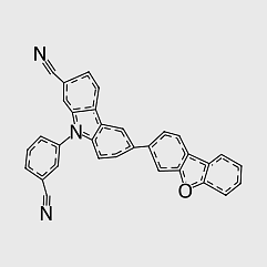 N#Cc1cccc(-n2c3ccc(-c4ccc5c(c4)oc4ccccc45)cc3c3ccc(C#N)cc32)c1